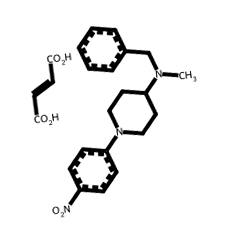 CN(Cc1ccccc1)C1CCN(c2ccc([N+](=O)[O-])cc2)CC1.O=C(O)C=CC(=O)O